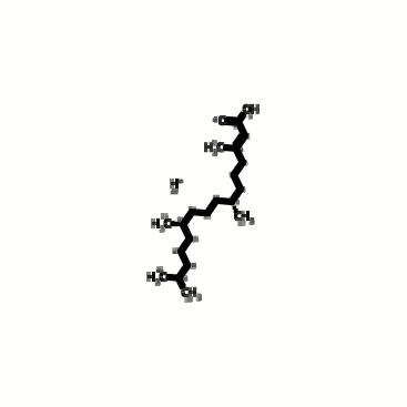 C/C(=C\C(=O)O)CCC[C@H](C)CCC[C@H](C)CCCC(C)C.[H+]